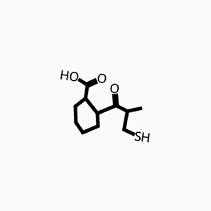 CC(CS)C(=O)C1CCCCC1C(=O)O